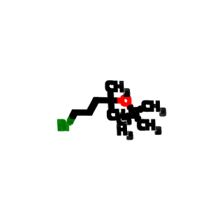 CC(C)(CCCBr)O[Si](C)(C)C